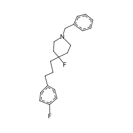 Fc1ccc(CCCC2(F)CCN(Cc3ccccc3)CC2)cc1